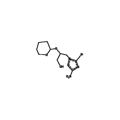 O=[N+]([O-])c1cn(CC(CO)OC2CCCCO2)c(Br)n1